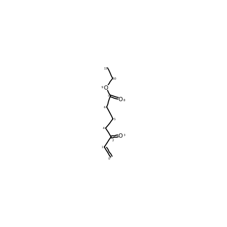 C=CC(=O)CCCC(=O)OCC